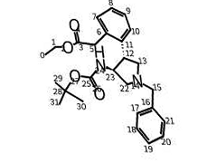 CCOC(=O)Cc1ccccc1[C@@H]1CN(Cc2ccccc2)C[C@H]1NC(=O)OC(C)(C)C